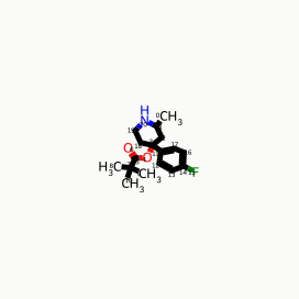 CC1CC(OC(=O)C(C)(C)C)(c2ccc(F)cc2)CCN1